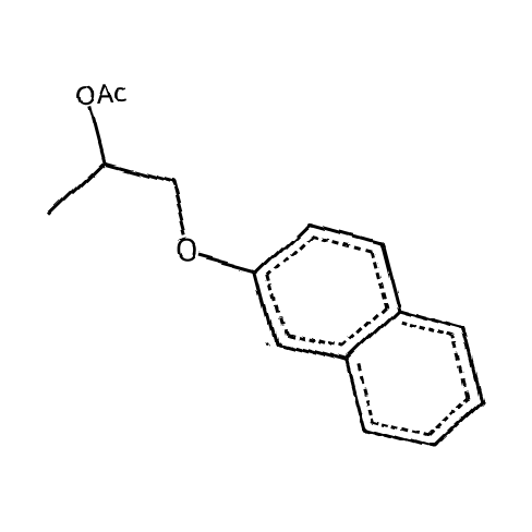 CC(=O)OC(C)COc1[c]c2ccccc2cc1